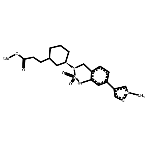 Cn1cc(-c2ccc3c(c2)NS(=O)(=O)N([C@@H]2CCCC(CCC(=O)OC(C)(C)C)C2)C3)cn1